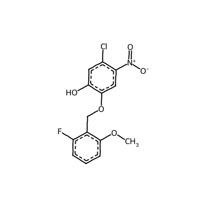 COc1cccc(F)c1COc1cc([N+](=O)[O-])c(Cl)cc1O